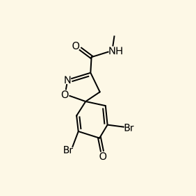 CNC(=O)C1=NOC2(C=C(Br)C(=O)C(Br)=C2)C1